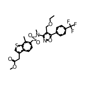 CCOCc1c(N(C)S(=O)(=O)c2ccc3c(CC(=O)OC)csc3c2C)noc1-c1ccc(C(F)(F)F)cc1